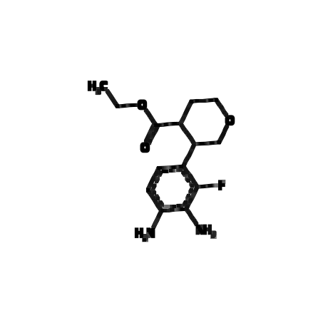 CCOC(=O)C1CCOCC1c1ccc(N)c(N)c1F